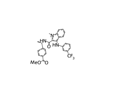 COC(=O)c1ccc([C@@H](C)NC(=O)c2c(Nc3cccc(C(F)(F)F)c3)c3ccccc3n2C)cc1